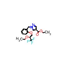 CCOC(=O)c1cnn(Cc2ccccc2O/C=C(\OCC)C(F)(F)F)c1